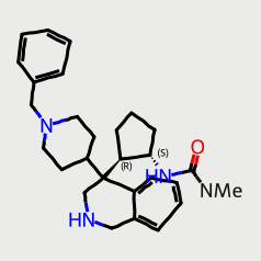 CNC(=O)N[C@H]1CCC[C@@H]1C1(C2CCN(Cc3ccccc3)CC2)CNCc2ccccc21